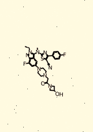 CCn1nc2c(F)cc(N3CCN(CC(=O)N4CC(O)C4)CC3)cc2c1N(C)c1nc(-c2ccc(F)cc2)c(C#N)s1